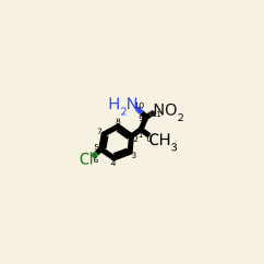 CC(c1ccc(Cl)cc1)C(N)[N+](=O)[O-]